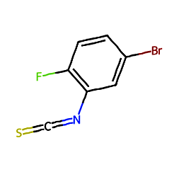 Fc1ccc(Br)cc1N=C=S